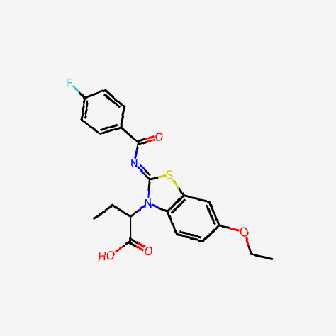 CCOc1ccc2c(c1)sc(=NC(=O)c1ccc(F)cc1)n2C(CC)C(=O)O